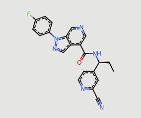 CC[C@H](NC(=O)c1cncc2c1cnn2-c1ccc(F)cc1)c1ccnc(C#N)c1